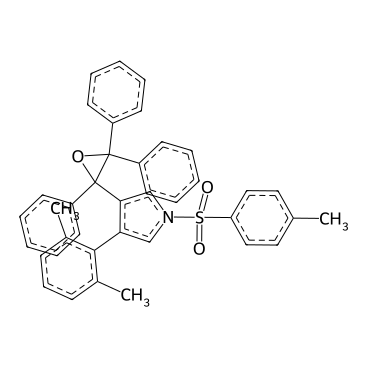 Cc1ccc(S(=O)(=O)n2cc(-c3c(C)cccc3C)c(C3(c4ccccc4)OC3(c3ccccc3)c3ccccc3)c2)cc1